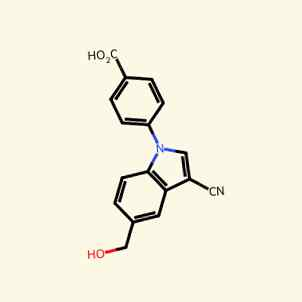 N#Cc1cn(-c2ccc(C(=O)O)cc2)c2ccc(CO)cc12